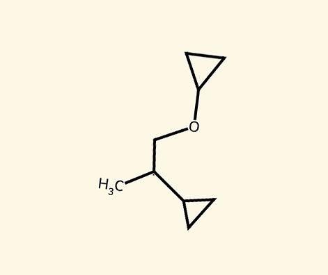 C[C](COC1CC1)C1CC1